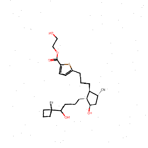 CCC1(C(O)CCC[C@@H]2[C@@H](CCCc3ccc(C(=O)OCCO)s3)[C@H](C#N)C[C@H]2O)CCC1